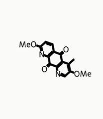 COc1ccc2c(n1)C(=O)c1ncc(OC)c(C)c1C2=O